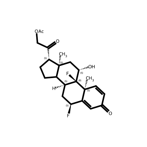 CC(=O)OCC(=O)[C@H]1CCC2[C@@H]3C[C@H](F)C4=CC(=O)C=C[C@]4(C)[C@@]3(F)[C@@H](O)C[C@@]21C